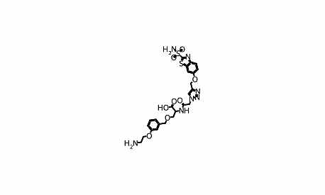 NCCOc1cccc(COCC(NC(=O)Cn2cc(COc3ccc4nc(S(N)(=O)=O)sc4c3)nn2)C(=O)O)c1